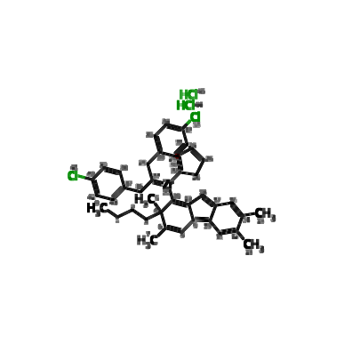 CCCCC1(C)C(C)=CC2=c3cc(C)c(C)cc3=CC2=[C]1[Zr]([C]1=CC=CC1)=[C](Cc1ccc(Cl)cc1)Cc1ccc(Cl)cc1.Cl.Cl